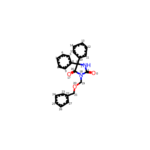 O=C1NC(c2ccccc2)(c2ccccc2)C(=O)N1COCc1ccccc1